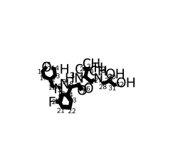 CC(C)(C)[C@H](NC(=O)c1nn(CC2CCOCC2)c2c(F)cccc12)C(=O)NC[C@H](O)CO